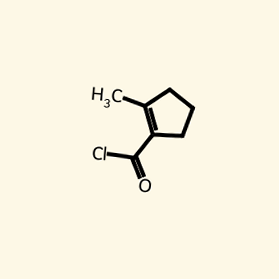 CC1=C(C(=O)Cl)CCC1